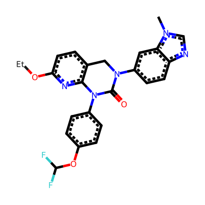 CCOc1ccc2c(n1)N(c1ccc(OC(F)F)cc1)C(=O)N(c1ccc3ncn(C)c3c1)C2